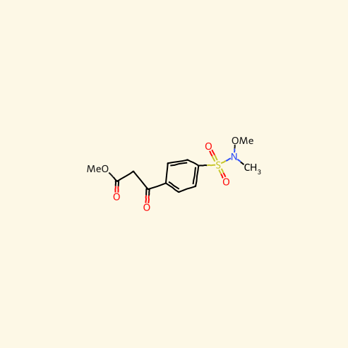 COC(=O)CC(=O)c1ccc(S(=O)(=O)N(C)OC)cc1